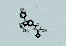 Cn1cnc2c1c1cc(C(=O)N[C@@H](CO)C3CCC3)ccc1n2-c1ccc(C(F)(F)F)cc1